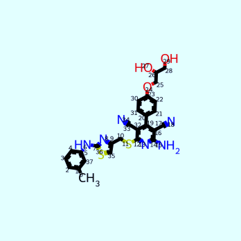 Cc1cccc(Nc2nc(CSc3nc(N)c(C#N)c(-c4ccc(OCC(O)CO)cc4)c3C#N)cs2)c1